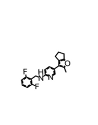 Cc1oc2c(c1-c1ccc(NCc3c(F)cccc3F)nc1)CCC2